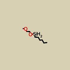 CCCCCC[SiH2]OCCOC